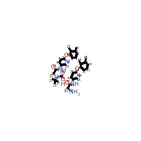 Cc1cccc(Oc2ccc(NC(=O)[C@@H](C)N(C(=O)O)C(C)(C)C)cn2)c1C.Cc1cccc(Oc2ccc(NC(=O)[C@@H](C)N)cn2)c1C